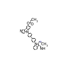 C=CC(=O)Oc1ccc2c(c1)c1cnccc1n2-c1ccc(-c2ccc(-n3c(/C=C\C)c(C=N)c4ccccc43)cc2)cc1